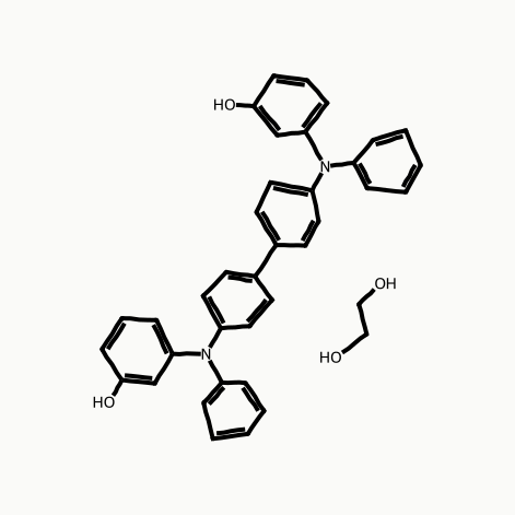 OCCO.Oc1cccc(N(c2ccccc2)c2ccc(-c3ccc(N(c4ccccc4)c4cccc(O)c4)cc3)cc2)c1